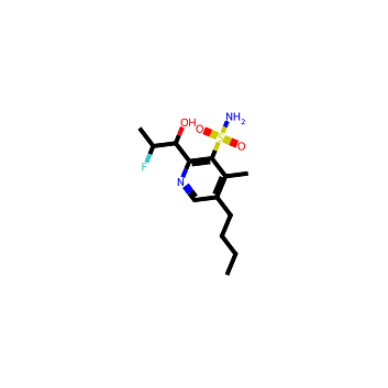 CCCCc1cnc(C(O)C(C)F)c(S(N)(=O)=O)c1C